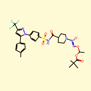 Cc1ccc(-c2cc(C(F)(F)F)nn2-c2ccc(S(=O)(=O)NC(=O)C3CCN([N+]([O-])=NOC(C)OC(=O)C(C)(C)C)CC3)cc2)cc1